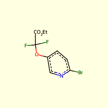 CCOC(=O)C(F)(F)Oc1ccc(Br)nc1